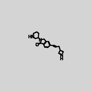 O=C1c2ccc(C#CCC3CNC3)cc2CN1C1CCCNC1